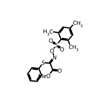 COC(=O)/C(=N/OS(=O)(=O)c1c(C)cc(C)cc1C)Sc1ccccc1